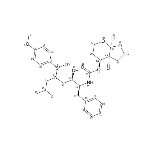 COc1ccc([S+]([O-])N(CC(C)C)C[C@@H](O)[C@H](Cc2ccccc2)NC(=O)O[C@H]2CCO[C@H]3OCC[C@H]32)cc1